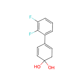 OC1(O)C=CC(c2cccc(F)c2F)=CC1